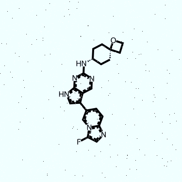 Fc1cnc2ccc(-c3c[nH]c4nc(N[C@H]5CC[C@]6(CCO6)CC5)ncc34)cn12